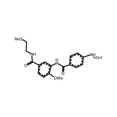 CCCCCCCCNc1ccc(C(=O)Nc2cc(C(=O)NCCSC)ccc2OC)cc1